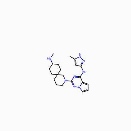 CNC1CCC2(CCCN(c3nc(Nc4cc(C)[nH]n4)c4cccn4n3)C2)CC1